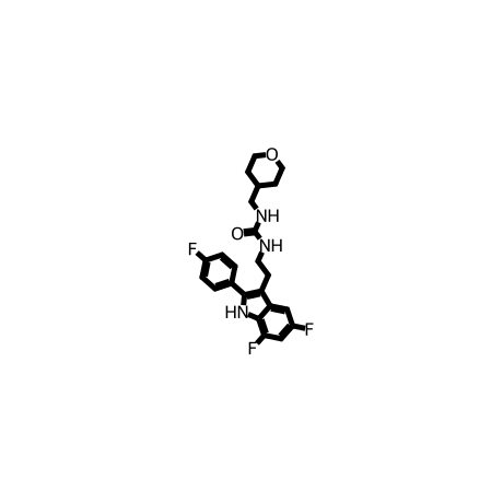 O=C(NCCc1c(-c2ccc(F)cc2)[nH]c2c(F)cc(F)cc12)NCC1CCOCC1